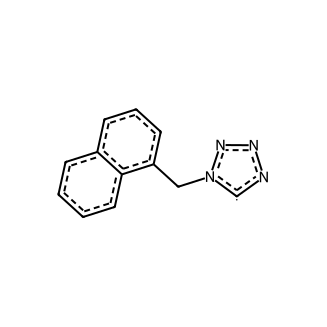 [c]1nnnn1Cc1cccc2ccccc12